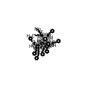 CCCCO[C@H](C(=O)N[C@@H]1C[C@H](NC(=O)OCc2ccccc2)[C@@H](O[C@H]2O[C@@H]3CN(C(=O)OCc4ccccc4)C(c4ccccc4)O[C@H]3[C@@H](O)[C@H]2NC(=O)OCc2ccccc2)[C@H](O[C@@H]2O[C@H](CO)[C@@H](O[C@H]3O[C@H]4CN(C(=O)OCc5ccccc5)C(c5ccccc5)O[C@H]4[C@H](O)[C@H]3NC(=O)OCc3ccccc3)[C@H]2O)[C@H]1O)[C@H](F)CN=[N+]=[N-]